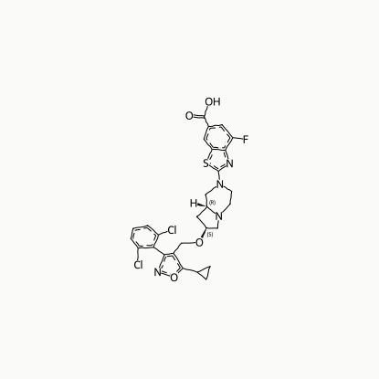 O=C(O)c1cc(F)c2nc(N3CCN4C[C@@H](OCc5c(-c6c(Cl)cccc6Cl)noc5C5CC5)C[C@@H]4C3)sc2c1